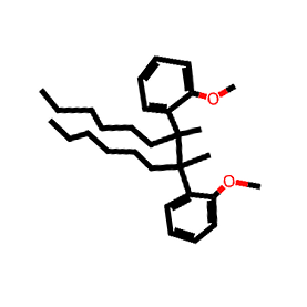 CCCCCCC(C)(c1ccccc1OC)C(C)(CCCCCC)c1ccccc1OC